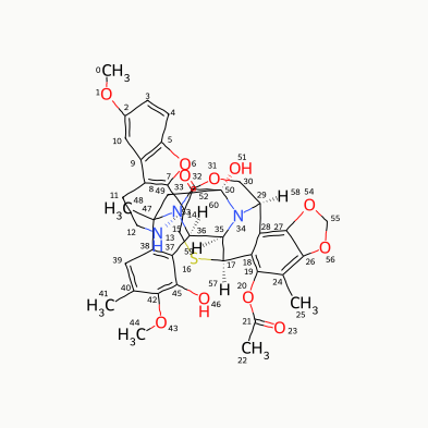 COc1ccc2oc3c(c2c1)CCN[C@]31CS[C@@H]2c3c(OC(C)=O)c(C)c4c(c3[C@H](COC1=O)N1[C@@H]2[C@H]2c3c(cc(C)c(OC)c3O)C3(C)C[C@@]1(O)CN23)OCO4